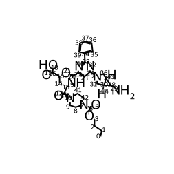 CCCCOC(=O)N1CCN(C(=O)[C@H](CCC(=O)O)NC(=O)c2cc(N3C[C@@H]4[C@H](N)[C@@H]4C3)nc(-c3ccccc3)n2)CC1